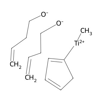 C=CCC[O-].C=CCC[O-].[CH3][Ti+2][C]1=CC=CC1